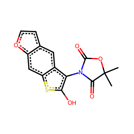 CC1(C)OC(=O)N(c2c(O)sc3cc4occc4cc23)C1=O